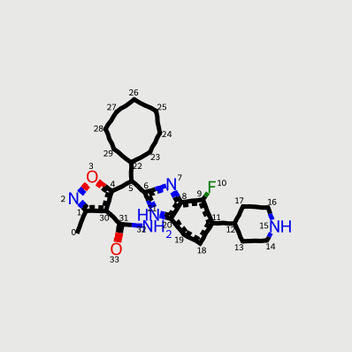 Cc1noc(C(c2nc3c(F)c(C4CCNCC4)ccc3[nH]2)C2CCCCCCC2)c1C(N)=O